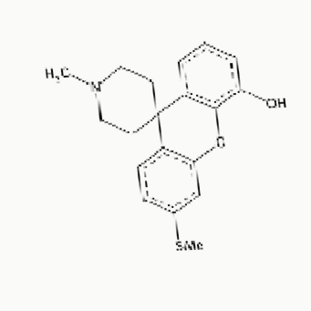 CSc1ccc2c(c1)Oc1c(O)cccc1C21CCN(C)CC1